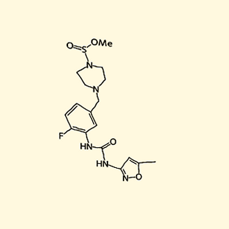 COS(=O)N1CCN(Cc2ccc(F)c(NC(=O)Nc3cc(C)on3)c2)CC1